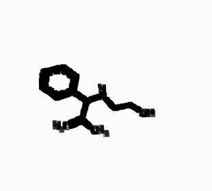 C=C(C)C(NCCO)c1ccccc1